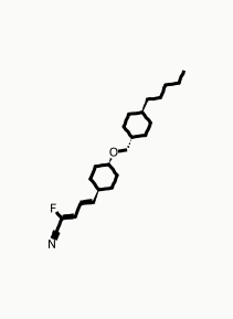 CCCCC[C@H]1CC[C@H](CO[C@H]2CC[C@H](/C=C/C=C(\F)C#N)CC2)CC1